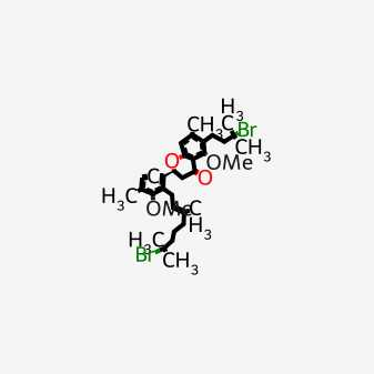 COc1c(C)ccc([C@@H]2CC(=O)c3c(cc(C)c(CCC(C)(C)Br)c3OC)O2)c1C/C=C(\C)CCCC(C)(C)Br